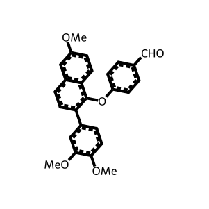 COc1ccc2c(Oc3ccc(C=O)cc3)c(-c3ccc(OC)c(OC)c3)ccc2c1